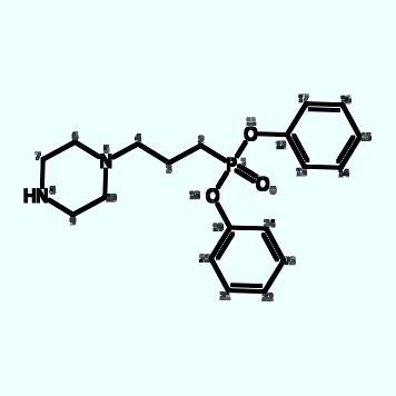 O=P(CCCN1CCNCC1)(Oc1ccccc1)Oc1ccccc1